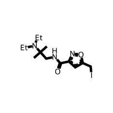 CCN(CC)C(C)(C)CNC(=O)c1cc(CI)on1